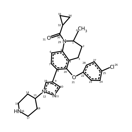 CC1CCc2c(ccc(-c3cnn(C4CCNCC4)c3)c2Oc2ccc(Cl)cc2)N1C(=O)C1CC1